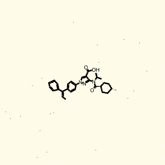 CC=C(c1ccccc1)c1ccc(-n2cc(C(=O)O)c(N(C(=O)[C@H]3CC[C@H](C)CC3)C(C)C)n2)cc1